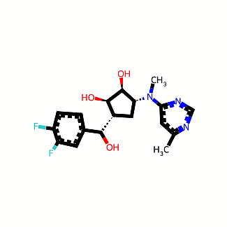 Cc1cc(N(C)[C@@H]2C[C@H](C(O)c3ccc(F)c(F)c3)[C@@H](O)[C@H]2O)ncn1